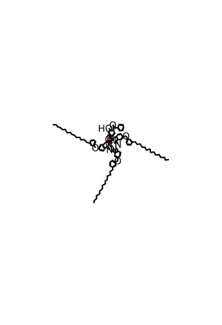 CCCCCCCCCCCCCCCc1cccc(Oc2ccc3c(c2)C2=NC/3=N\c3c4cc(Oc5cccc(CCCCCCCCCCCCCCC)c5)ccc4c4n3B(Oc3ccc(C(=O)c5ccccc5)c(O)c3)n3c(c5cc(Oc6cccc(CCCCCCCCCCCCCCC)c6)ccc5/c3=N/2)=N4)c1